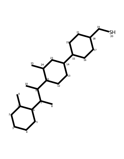 CC1CCCCC1C(C)C(C)C1CCC(C2CCC(CS)CC2)CC1C